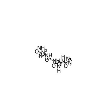 Cn1cc(NC(=O)CCNC(=O)c2cc(NC(=O)c3nccn3C)c[nH]2)nc1C(N)=O